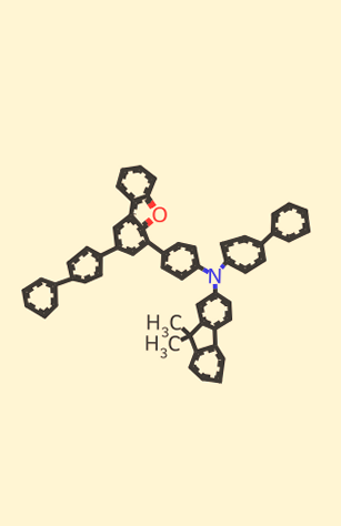 CC1(C)c2ccccc2-c2ccc(N(c3ccc(-c4ccccc4)cc3)c3ccc(-c4cc(-c5ccc(-c6ccccc6)cc5)cc5c4oc4ccccc45)cc3)cc21